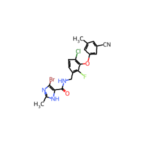 Cc1cc(C#N)cc(Oc2c(Cl)ccc(CNC(=O)c3[nH]c(C)nc3Br)c2F)c1